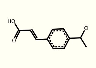 CC(Cl)c1ccc(C=CC(=O)O)cc1